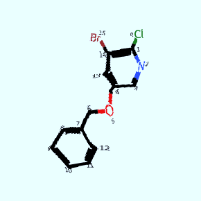 Clc1ncc(OCc2ccccc2)cc1Br